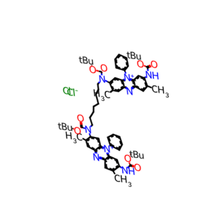 Cc1cc2nc3cc(C)c(N(CCCCCCCCN(C(=O)OC(C)(C)C)c4cc5c(cc4C)nc4cc(C)c(NC(=O)OC(C)(C)C)cc4[n+]5-c4ccccc4)C(=O)OC(C)(C)C)cc3[n+](-c3ccccc3)c2cc1NC(=O)OC(C)(C)C.[Cl-].[Cl-]